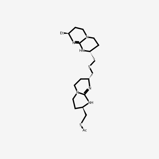 CC[C@H]1CCN2CC[C@H](CSC[C@H]3CCN4CC[C@H](CSC(C)=O)NC4=N3)NC2=N1